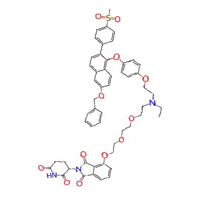 CCN(CCOCCOCCOc1cccc2c1C(=O)N(C1CCC(=O)NC1=O)C2=O)CCOc1ccc(Oc2c(-c3ccc(S(C)(=O)=O)cc3)ccc3cc(OCc4ccccc4)ccc23)cc1